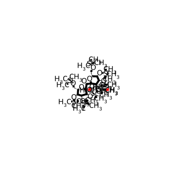 C[Si](C)(C)OC[C@@H]1OC(O)(C(=O)C2(O)O[C@H](CO[Si](C)(C)C)[C@@H](O[Si](C)(C)C)[C@H](O[Si](C)(C)C)[C@H]2O[Si](C)(C)C)[C@@H](O[Si](C)(C)C)[C@H](O[Si](C)(C)C)[C@H]1O[Si](C)(C)C